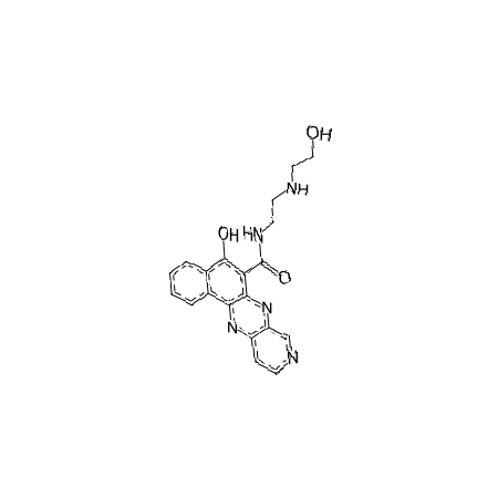 O=C(NCCNCCO)c1c(O)c2ccccc2c2nc3ccncc3nc12